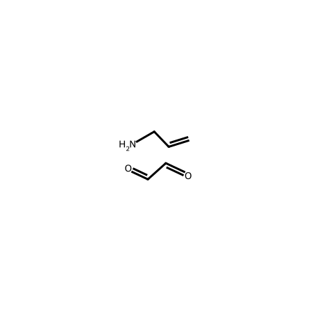 C=CCN.O=CC=O